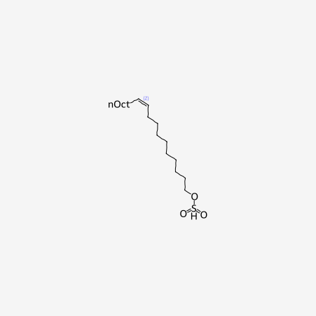 CCCCCCCC/C=C\CCCCCCCCCO[SH](=O)=O